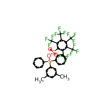 Cc1cc(C)cc(S(OS(=O)(=O)c2c(C(F)(F)F)c(C(F)(F)F)c(C(F)(F)F)c(C(F)(F)F)c2C(F)(F)F)(c2ccccc2)c2ccccc2)c1